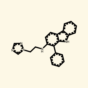 c1ccc(-c2c(NCCn3cncn3)ccc3c2[nH]c2ccccc23)cc1